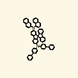 c1ccc(-c2ccc(N(c3ccc(-c4ccccc4)cc3)c3ccc4c(c3)C3(c5ccccc5-c5ccccc53)c3cc(N(c5ccc6ccccc6c5)c5cccc6ccccc56)ccc3-4)cc2)cc1